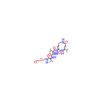 COCCOCCNC(=O)[C@@H](NC(=O)N[C@H](C(=O)N[C@H]1/C=C/CCNC(=O)/C=C/[C@H](C(C)C)NC1=O)C(C)C)C(C)C